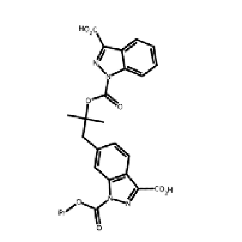 CC(C)OC(=O)n1nc(C(=O)O)c2ccc(CC(C)(C)OC(=O)n3nc(C(=O)O)c4ccccc43)cc21